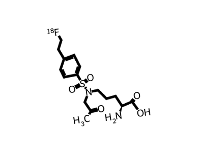 CC(=O)CN(CCC[C@H](N)C(=O)O)S(=O)(=O)c1ccc(CC[18F])cc1